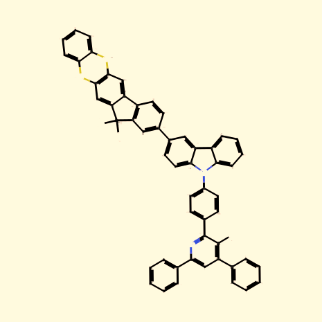 Cc1c(-c2ccccc2)cc(-c2ccccc2)nc1-c1ccc(-n2c3ccccc3c3cc(-c4ccc5c(c4)C(C)(C)c4cc6c(cc4-5)Sc4ccccc4S6)ccc32)cc1